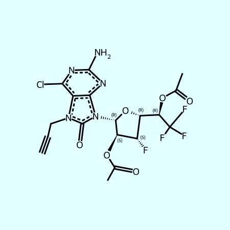 C#CCn1c(=O)n([C@@H]2O[C@H]([C@@H](OC(C)=O)C(F)(F)F)[C@H](F)[C@H]2OC(C)=O)c2nc(N)nc(Cl)c21